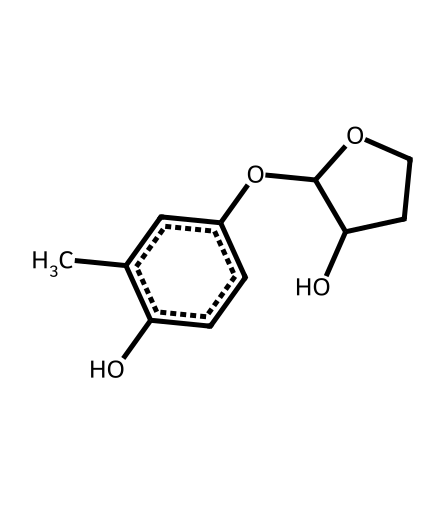 Cc1cc(OC2OCCC2O)ccc1O